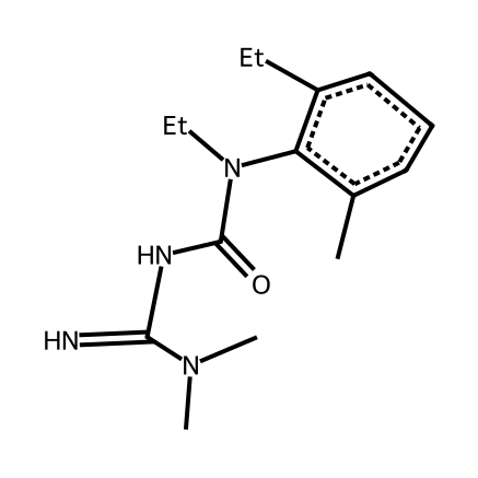 CCc1cccc(C)c1N(CC)C(=O)NC(=N)N(C)C